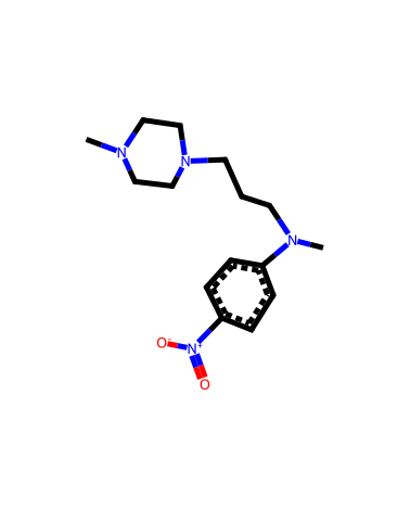 CN1CCN(CCCN(C)c2ccc([N+](=O)[O-])cc2)CC1